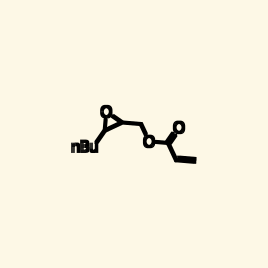 C=CC(=O)OCC1OC1CCCC